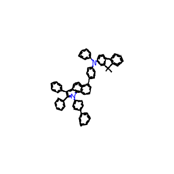 CC1(C)c2ccccc2-c2ccc(N(c3ccccc3)c3ccc(-c4cccc5c4ccc4c(-c6ccccc6)c(-c6ccccc6)n(-c6ccc(-c7ccccc7)cc6)c45)cc3)cc21